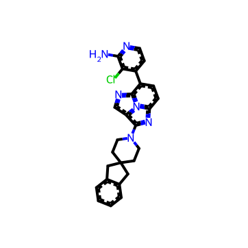 Nc1nccc(-c2ccc3nc(N4CCC5(CC4)Cc4ccccc4C5)c4cnc2n34)c1Cl